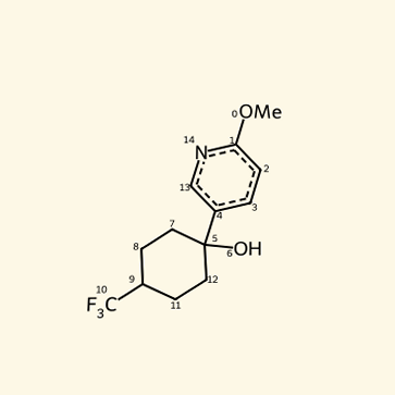 COc1ccc(C2(O)CCC(C(F)(F)F)CC2)cn1